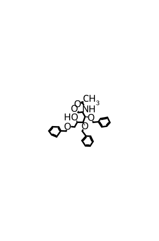 CC(=O)N[C@H](C=O)[C@@H](OCc1ccccc1)[C@H](OCc1ccccc1)[C@H](O)COCc1ccccc1